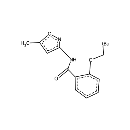 Cc1cc(NC(=O)c2ccccc2OCC(C)(C)C)no1